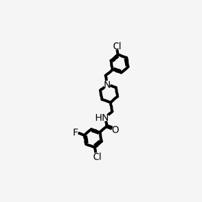 O=C(NCC1CCN(Cc2cccc(Cl)c2)CC1)c1cc(F)cc(Cl)c1